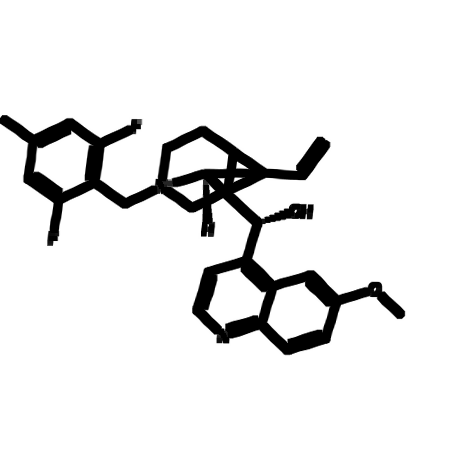 C=CC12C3CC[N+](Cc4c(F)cc(C)cc4F)(CC31)[C@@H]2[C@H](O)c1ccnc2ccc(OC)cc12